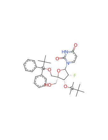 CC(C)(C)[Si](C)(C)O[C@H]1[C@@H](F)C(n2ccc(=O)[nH]c2=O)O[C@]1(CO)CO[Si](c1ccccc1)(c1ccccc1)C(C)(C)C